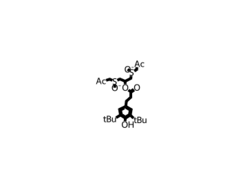 CC(=O)C[S+]([O-])CC(C[S+]([O-])CC(C)=O)OC(=O)CCc1cc(C(C)(C)C)c(O)c(C(C)(C)C)c1